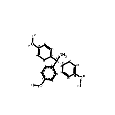 NC(c1ccc(OI)cc1)(C1C=CC(OI)=CC1)[C@H]1C=CC(OI)=CC1